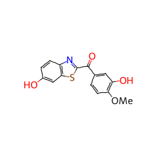 COc1ccc(C(=O)c2nc3ccc(O)cc3s2)cc1O